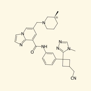 C[C@H]1CCCN(Cc2cc(C(=O)Nc3cccc(C4(c5nncn5C)CC(CC#N)C4)c3)c3nccn3c2)C1